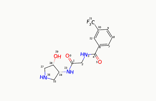 O=C(CNC(=O)c1cccc(C(F)(F)F)c1)N[C@@H]1CNC[C@@H]1O